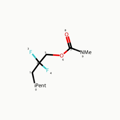 CCCC(C)CC(F)(F)COC(=O)NC